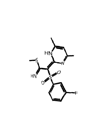 CSC(=N)/C(=C1/N=C(C)C=C(C)N1)S(=O)(=O)c1cccc(F)c1